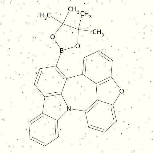 CC1(C)OB(c2ccc3c4ccccc4n4c5cccc6oc7cccc(c2c34)c7c65)OC1(C)C